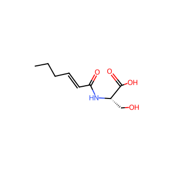 CCCC=CC(=O)N[C@@H](CO)C(=O)O